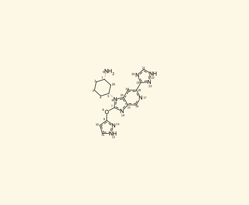 N[C@H]1CCC[C@@H](n2c(Oc3cc[nH]n3)nc3cnc(-c4nc[nH]n4)cc32)C1